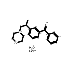 CC(CN1CCOCC1)c1cccc(C(=O)c2ccccc2)c1.Cl.O